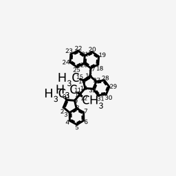 CC1=Cc2ccccc2C1C(C)(C)C1C(C)=C(c2cccc3ccccc23)c2ccccc21